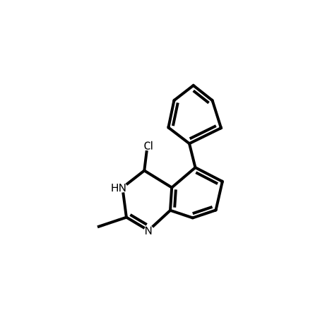 CC1=Nc2cccc(-c3ccccc3)c2C(Cl)N1